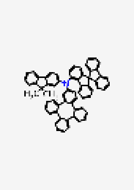 CC1(C)c2ccccc2-c2ccc(N(c3ccc4c(c3)-c3ccccc3-c3ccccc3-c3ccccc3-4)c3cccc4c3-c3ccccc3C43c4ccccc4-c4ccccc43)cc21